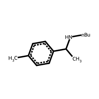 CCCCNC(C)c1ccc(C)cc1